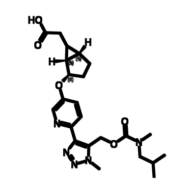 CC(C)CN(C)C(=O)OCc1c(-c2ccc(O[C@@H]3CC[C@H]4C(CC(=O)O)[C@@H]34)cn2)nnn1C